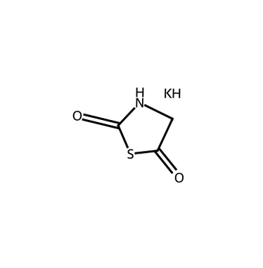 O=C1CNC(=O)S1.[KH]